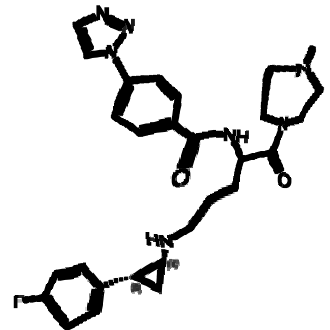 CN1CCN(C(=O)C(CCCN[C@@H]2C[C@@H]2c2ccc(F)cc2)NC(=O)c2ccc(-n3ccnn3)cc2)CC1